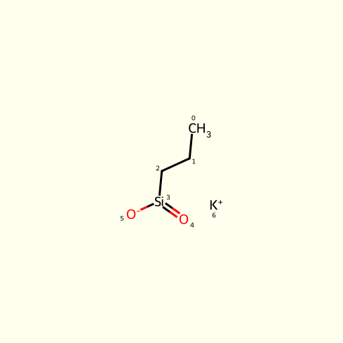 CCC[Si](=O)[O-].[K+]